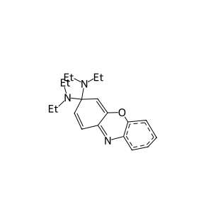 CCN(CC)C1(N(CC)CC)C=CC2=Nc3ccccc3OC2=C1